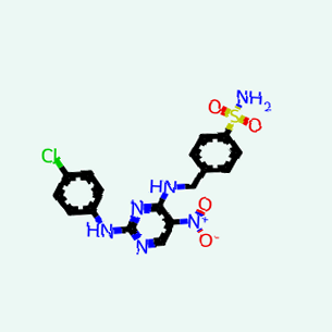 NS(=O)(=O)c1ccc(CNc2nc(Nc3ccc(Cl)cc3)ncc2[N+](=O)[O-])cc1